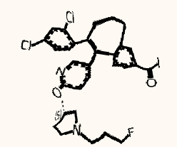 O=C(I)c1ccc2c(c1)CCCC(c1ccc(Cl)cc1Cl)=C2c1ccc(O[C@H]2CCN(CCCF)C2)nc1